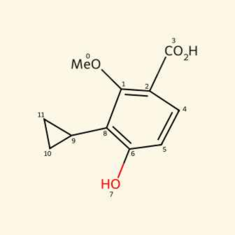 COc1c(C(=O)O)ccc(O)c1C1CC1